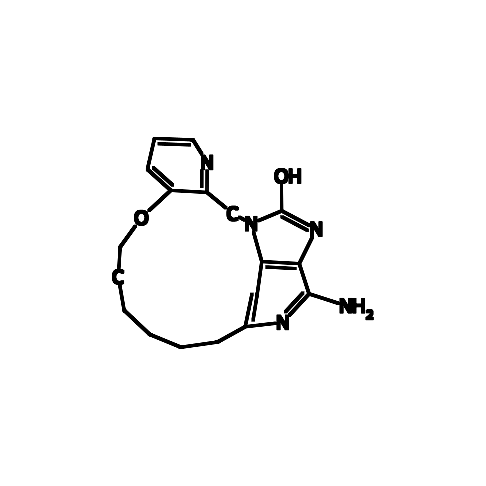 Nc1nc2cc3c1nc(O)n3Cc1ncccc1OCCCCCC2